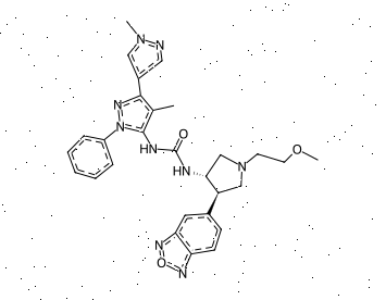 COCCN1C[C@@H](NC(=O)Nc2c(C)c(-c3cnn(C)c3)nn2-c2ccccc2)[C@H](c2ccc3nonc3c2)C1